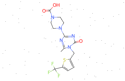 Cc1nc(N2CCN(C(=O)O)CC2)nc(=O)n1Cc1ccc(C(F)(F)F)s1